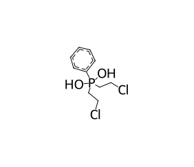 OP(O)(CCCl)(CCCl)c1ccccc1